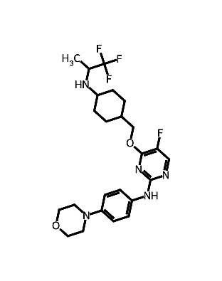 CC(NC1CCC(COc2nc(Nc3ccc(N4CCOCC4)cc3)ncc2F)CC1)C(F)(F)F